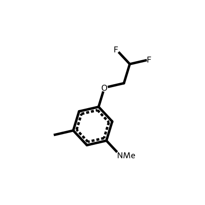 CNc1cc(C)cc(OCC(F)F)c1